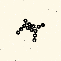 c1ccc(-c2ccc(-c3ccc(N(c4ccccc4)c4ccc5c(c4)C4(c6ccccc6-c6ccccc64)c4cc(N(c6ccc(-c7ccccc7)cc6)c6ccc(-c7ccc(-c8ccccc8)cc7)cc6)ccc4-5)cc3)cc2)cc1